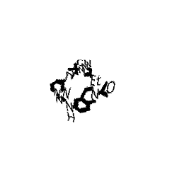 CCc1cnn(C2(CC#N)CN(c3cccn4nc(Nc5ccc6c(c5)CCN(C5COC5)C6)nc34)C2)c1